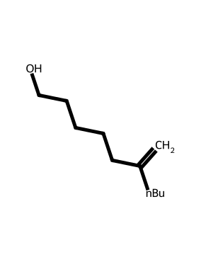 C=C(CCCC)CCCCCO